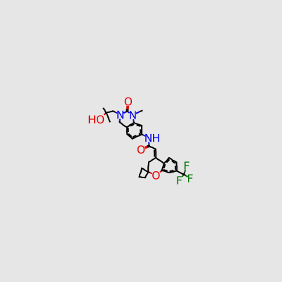 CN1C(=O)N(CC(C)(C)O)Cc2ccc(NC(=O)/C=C3\CC4(CCC4)Oc4cc(C(F)(F)F)ccc43)cc21